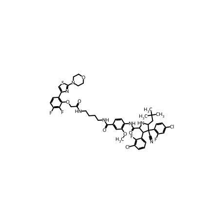 COc1cc(C(=O)NCCCCNC(=O)COc2c(-c3csc(N4CCOCC4)n3)ccc(F)c2F)ccc1NC(=O)C1NC(CC(C)(C)C)C(C#N)(c2ccc(Cl)cc2F)C1c1cccc(Cl)c1F